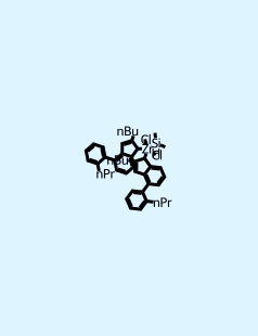 CCCCC1=Cc2c(-c3ccccc3CCC)cccc2[CH]1[Zr]([Cl])([Cl])([CH]1C(CCCC)=Cc2c(-c3ccccc3CCC)cccc21)[SiH](C)C